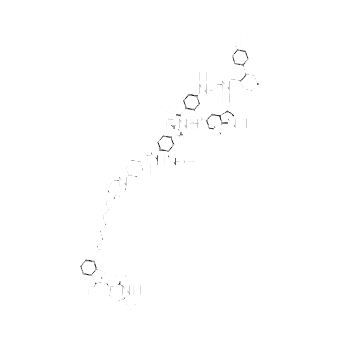 CC1(C)CCC(CNCCNc2ccc(C(=O)NS(=O)(=O)c3ccc(NC[C@H]4CC[C@@H](N5CCN(CCCCCCCSc6cccc7c6CN(C6CCC(=O)NC6=O)C7=O)CC5)CC4)c(NO)c3)c(Oc3cnc4[nH]ccc4c3)c2)=C(c2ccc(Cl)cc2)C1